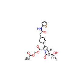 C[C@@H](O)[C@H]1C(=O)N2C(C(=O)OCOC(=O)C(C)(C)C)=C(c3ccc(CC(=O)Nc4cccs4)cc3)C[C@H]12